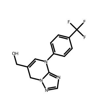 OCC1=CN(c2ccc(C(F)(F)F)cc2)c2ncnn2C1